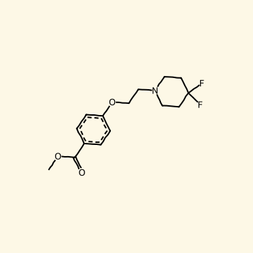 COC(=O)c1ccc(OCCN2CCC(F)(F)CC2)cc1